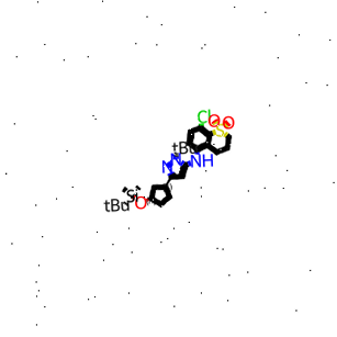 CC(C)(C)n1nc([C@H]2CC[C@@H](O[Si](C)(C)C(C)(C)C)C2)cc1Nc1ccc(Cl)c2c1CCCS2(=O)=O